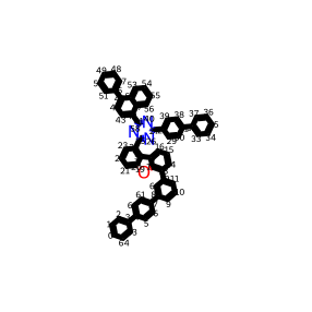 c1ccc(-c2ccc(-c3cccc(-c4cccc5c4oc4cccc(-c6nc(-c7ccc(-c8ccccc8)cc7)nc(-c7ccc(-c8ccccc8)c8ccccc78)n6)c45)c3)cc2)cc1